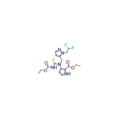 CCOC(=O)NC(=S)N(Cc1ccnn1CC(F)F)c1cc[nH]c1C(=O)OCC